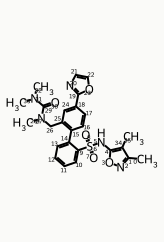 Cc1noc(NS(=O)(=O)c2ccccc2-c2ccc(-c3ncco3)cc2CN(C)C(=O)N(C)C)c1C